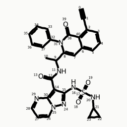 C#Cc1cccc2cc(C(C)NC(=O)c3c(NS(=O)(=O)NC4CC4)nn4cccnc34)n(-c3ccccc3)c(=O)c12